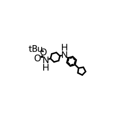 CC(C)(C)OC(=O)NC1CCC(Nc2ccc(C3CCCC3)cc2)CC1